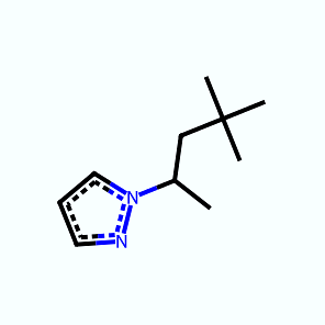 CC(CC(C)(C)C)n1cccn1